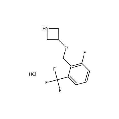 Cl.Fc1cccc(C(F)(F)F)c1COC1CNC1